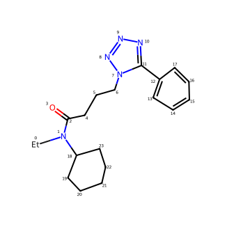 CCN(C(=O)CCCn1nnnc1-c1ccccc1)C1CCCCC1